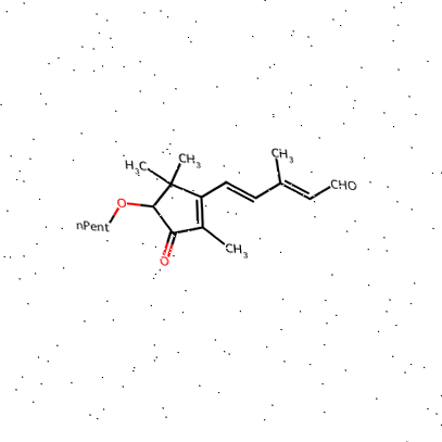 CCCCCOC1C(=O)C(C)=C(/C=C/C(C)=C/C=O)C1(C)C